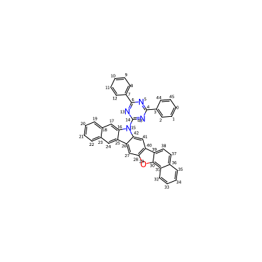 c1ccc(-c2nc(-c3ccccc3)nc(-n3c4cc5ccccc5cc4c4cc5oc6c7ccccc7ccc6c5cc43)n2)cc1